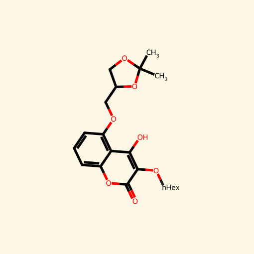 CCCCCCOc1c(O)c2c(OCC3COC(C)(C)O3)cccc2oc1=O